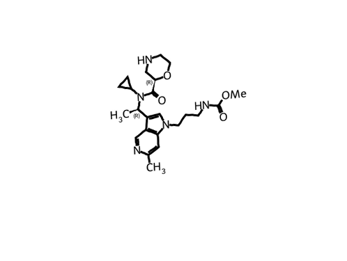 COC(=O)NCCCn1cc([C@@H](C)N(C(=O)[C@H]2CNCCO2)C2CC2)c2cnc(C)cc21